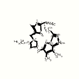 CC(=O)Nc1ncc(CN2C[C@H](Oc3nn4c(C(F)(F)F)nnc4c(C)c3C)C[C@@H]2C)s1